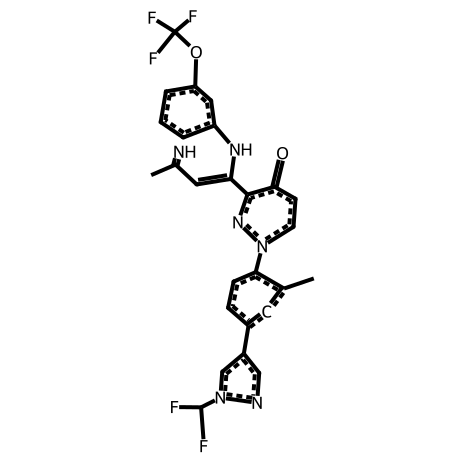 CC(=N)/C=C(\Nc1cccc(OC(F)(F)F)c1)c1nn(-c2ccc(-c3cnn(C(F)F)c3)cc2C)ccc1=O